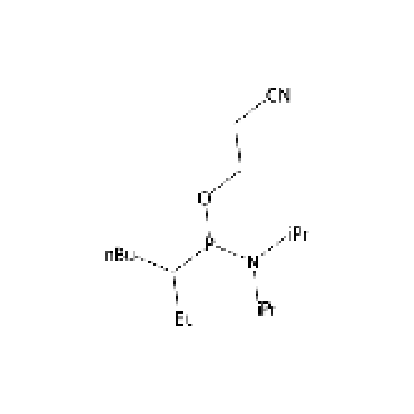 CCCCC(CC)P(OCCC#N)N(C(C)C)C(C)C